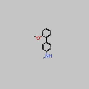 CNc1ccc(-c2ccccc2OC)cc1